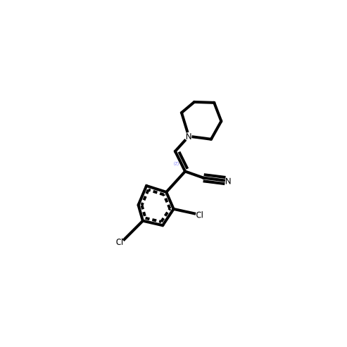 N#C/C(=C\N1CCCCC1)c1ccc(Cl)cc1Cl